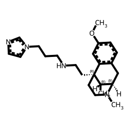 COc1ccc2c(c1)[C@]1(CCNCCCn3ccnc3)CCN(C)[C@H](C2)[C@@H]1C